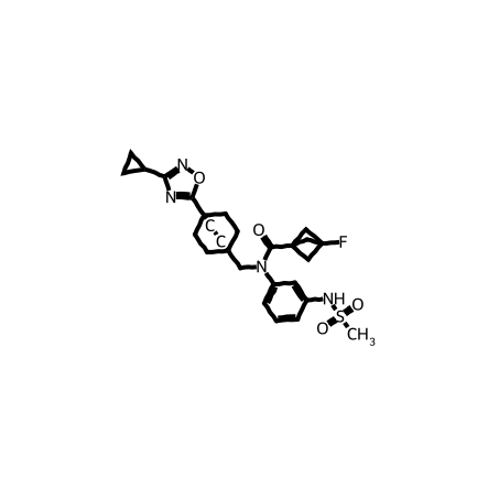 CS(=O)(=O)Nc1cccc(N(CC23CCC(c4nc(C5CC5)no4)(CC2)CC3)C(=O)C23CC(F)(C2)C3)c1